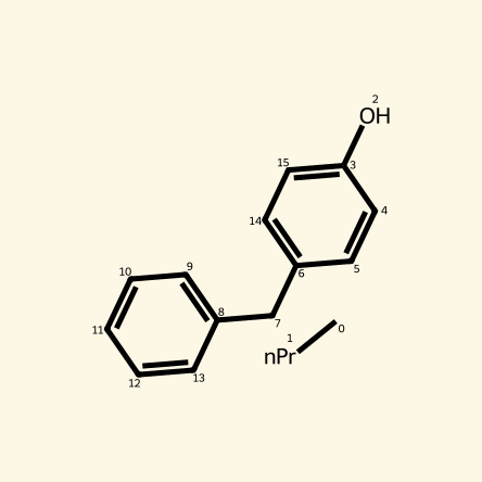 CCCC.Oc1ccc(Cc2ccccc2)cc1